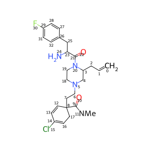 C=CCC1CN(CCC2(C(=O)NC)C=CC(Cl)=CC2)CCN1C(=O)C(N)Cc1ccc(F)cc1